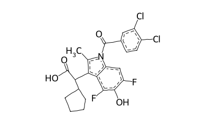 Cc1c(C(C(=O)O)C2CCCC2)c2c(F)c(O)c(F)cc2n1C(=O)c1ccc(Cl)c(Cl)c1